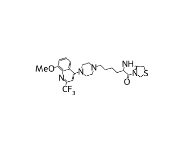 COc1cccc2c(N3CCN(CCCCC(N)C(=O)N4CCSC4)CC3)cc(C(F)(F)F)nc12